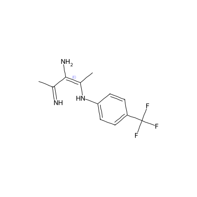 CC(=N)/C(N)=C(/C)Nc1ccc(C(F)(F)F)cc1